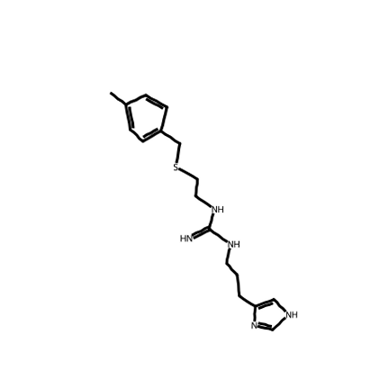 Cc1ccc(CSCCNC(=N)NCCCc2c[nH]cn2)cc1